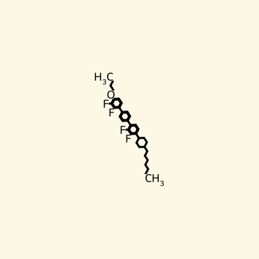 CCCCCCCC1CCC(c2ccc(-c3ccc(-c4ccc(OCCCC)c(F)c4F)cc3)c(F)c2F)CC1